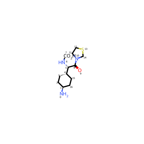 N[C@H]1CC[C@H]([C@H](NC(=O)O)C(=O)N2CCSC2)CC1